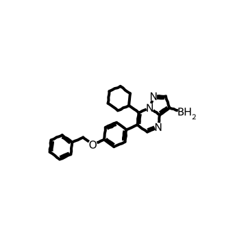 Bc1cnn2c(C3CCCCC3)c(-c3ccc(OCc4ccccc4)cc3)cnc12